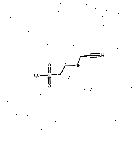 CS(=O)(=O)CCNCC#N